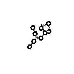 c1ccc(-c2ccc(N(c3ccc(-c4ccccc4)cc3)c3cccc(-c4cc5c6c(cccc6c4)Sc4ccccc4Nc4ccccc4-5)c3)cc2)cc1